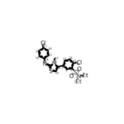 CCN(CC)S(=O)(=O)c1cc(-c2cs/c(=N/c3ccc(Cl)cc3)n2C)ccc1Cl